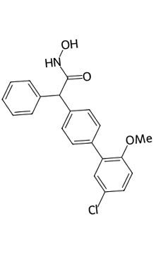 COc1ccc(Cl)cc1-c1ccc(C(C(=O)NO)c2ccccc2)cc1